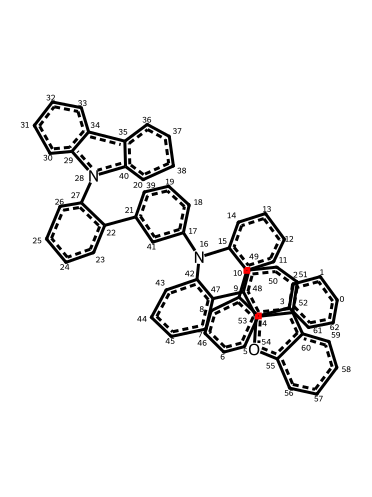 c1ccc(-c2ccccc2-c2ccccc2N(c2cccc(-c3ccccc3-n3c4ccccc4c4ccccc43)c2)c2ccccc2-c2cccc3c2oc2ccccc23)cc1